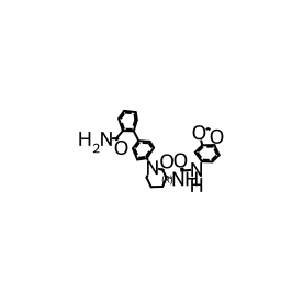 NC(=O)c1ccccc1-c1ccc(N2CCC[C@@H](NC(=O)Nc3ccc4c(c3)OCO4)C2=O)cc1